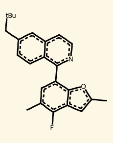 Cc1cc2c(F)c(C)cc(-c3nccc4cc(CC(C)(C)C)ccc34)c2o1